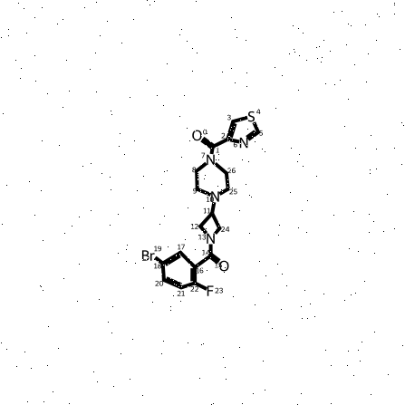 O=C(c1cscn1)N1CCN(C2CN(C(=O)c3cc(Br)ccc3F)C2)CC1